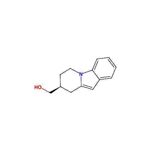 OC[C@H]1CCn2c(cc3ccccc32)C1